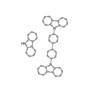 c1ccc2c(c1)[nH]c1ccccc12.c1ccc2c(c1)c1ccccc1n2-c1ccc(-c2ccc(-n3c4ccccc4c4ccccc43)cc2)cc1